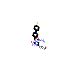 NC(=O)[N+]1(Cc2ccc(-c3ccc(F)cc3)cc2)C[C@H](C(=O)O)NC1=O